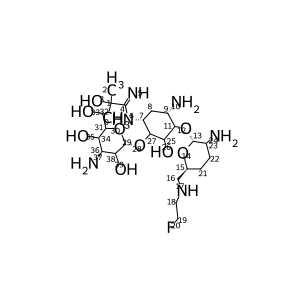 CC(C)(O)C(=N)N[C@@H]1C[C@H](N)C(O[C@H]2O[C@H](CNCCF)CCC2N)C(O)C1O[C@H]1OC(CO)C(O)[C@H](N)C1O